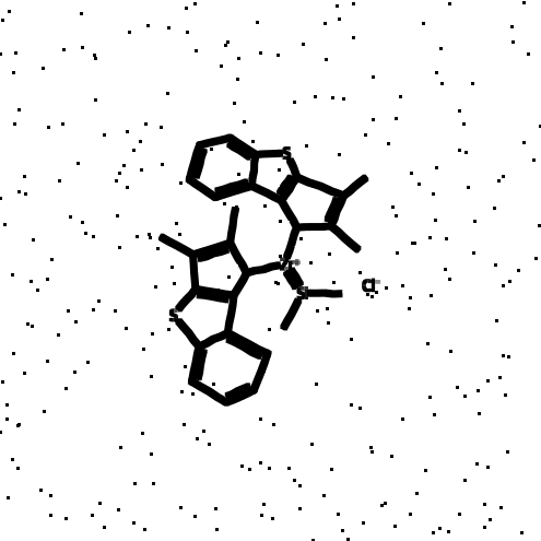 CC1=C(C)[CH]([Zr+]([CH]2C(C)=C(C)c3sc4ccccc4c32)=[Si](C)C)c2c1sc1ccccc21.[Cl-]